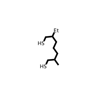 [CH2]CC(CS)CCCC(C)CS